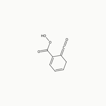 O=C=C1CC=CC=C1C(=O)OO